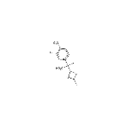 CC1OC(C(C)(C(=O)O)c2ccc([N+](=O)[O-])c(F)c2)O1